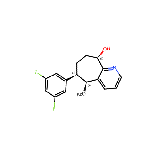 CC(=O)O[C@@H]1c2cccnc2[C@H](O)CC[C@@H]1c1cc(F)cc(F)c1